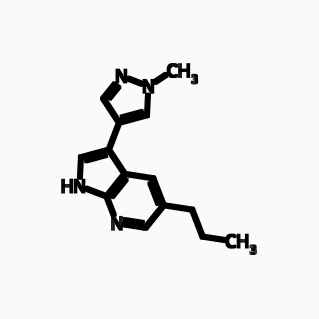 CCCc1cnc2[nH]cc(-c3cnn(C)c3)c2c1